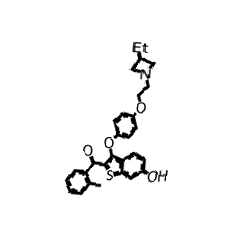 CCC1CN(CCOc2ccc(Oc3c(C(=O)c4ccccc4C)sc4cc(O)ccc34)cc2)C1